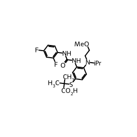 COCCN(c1ccc(SC(C)(C)C(=O)O)cc1NC(=O)Nc1ccc(F)cc1F)C(C)C